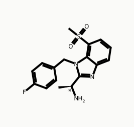 C[C@H](N)c1nc2cccc(S(C)(=O)=O)c2n1Cc1ccc(F)cc1